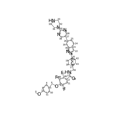 COc1ccc(COc2c(F)cc(C(=O)NCC34CCC(n5cc6ccc(-c7cnc(N8CCNCC8)nc7)cc6n5)(CC3)CC4)c(F)c2F)cc1